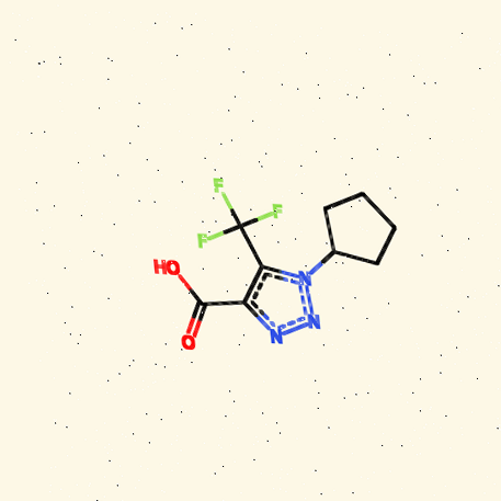 O=C(O)c1nnn(C2CCCC2)c1C(F)(F)F